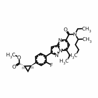 CCCC(C)N(CC)C(=O)c1cc(CC)n2nc(-c3ccc([C@H]4C[C@@H]4C(=O)OC)cc3F)cc2n1